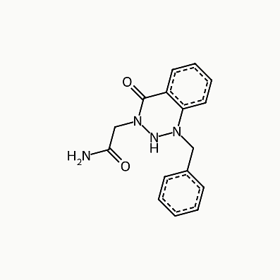 NC(=O)CN1NN(Cc2ccccc2)c2ccccc2C1=O